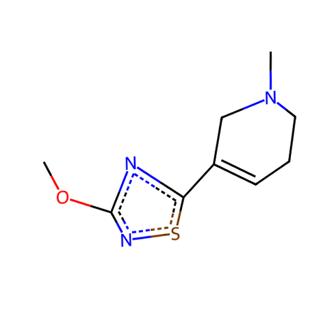 COc1nsc(C2=CCCN(C)C2)n1